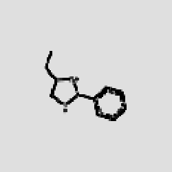 CCC1CNC(c2ccccc2)N1